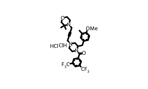 COc1ccc(CC2CN(CC#CCN3CCOCC3(C)C)CCN2C(=O)c2cc(C(F)(F)F)cc(C(F)(F)F)c2)cc1C.Cl.Cl